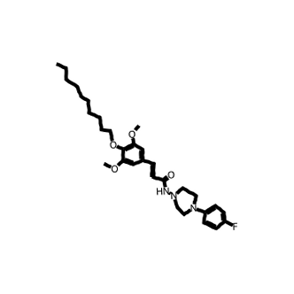 CCCCCCCCCCOc1c(OC)cc(C=CC(=O)NN2CCN(c3ccc(F)cc3)CC2)cc1OC